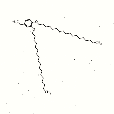 [CH2]Cc1ccc(OCCCCCCCCCCCCCCCCCC)c(OCCCCCCCCCCCCCCCCCC)c1